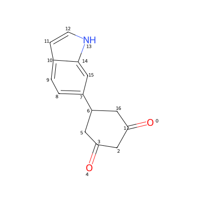 O=C1CC(=O)CC(c2ccc3cc[nH]c3c2)C1